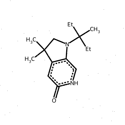 CCC(C)(CC)N1CC(C)(C)c2cc(=O)[nH]cc21